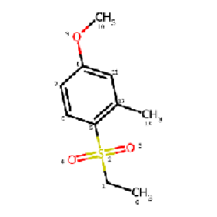 CCS(=O)(=O)c1ccc(OC)cc1C